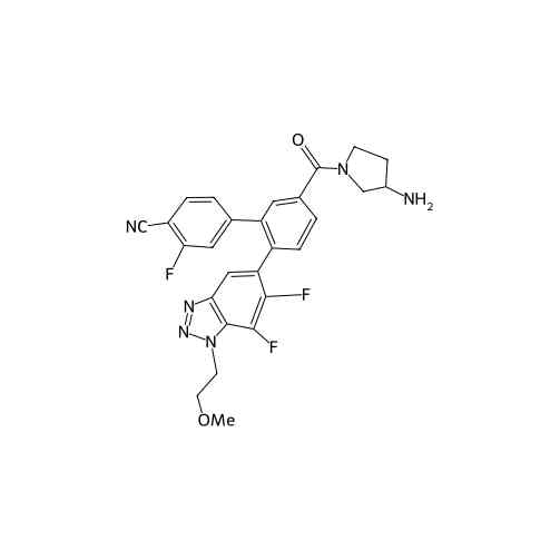 COCCn1nnc2cc(-c3ccc(C(=O)N4CCC(N)C4)cc3-c3ccc(C#N)c(F)c3)c(F)c(F)c21